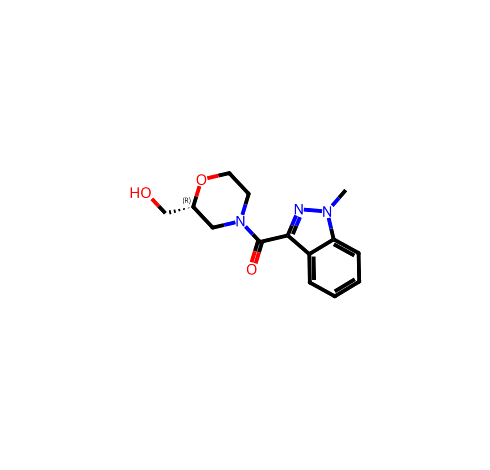 Cn1nc(C(=O)N2CCO[C@@H](CO)C2)c2ccccc21